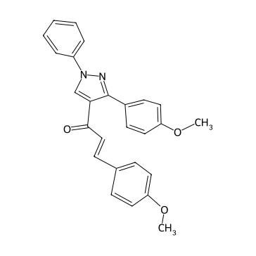 COc1ccc(C=CC(=O)c2cn(-c3ccccc3)nc2-c2ccc(OC)cc2)cc1